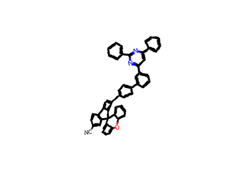 N#Cc1ccc2c(c1)C1(c3ccccc3Oc3ccccc31)c1cc(-c3ccc(-c4cccc(-c5cc(-c6ccccc6)nc(-c6ccccc6)n5)c4)cc3)ccc1-2